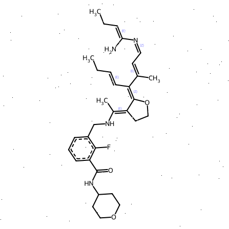 CC/C=C/C(=C1/OCC/C1=C(/C)NCc1cccc(C(=O)NC2CCOCC2)c1F)C(/C)=C/C=N\C(N)=C\CC